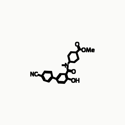 COC(=O)C1CCC(N(C)C(=O)c2cc(-c3ccc(C#N)cc3)ccc2O)CC1